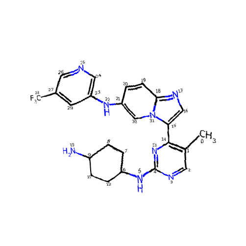 Cc1cnc(NC2CCC(N)CC2)nc1-c1cnc2ccc(Nc3cncc(C(F)(F)F)c3)cn12